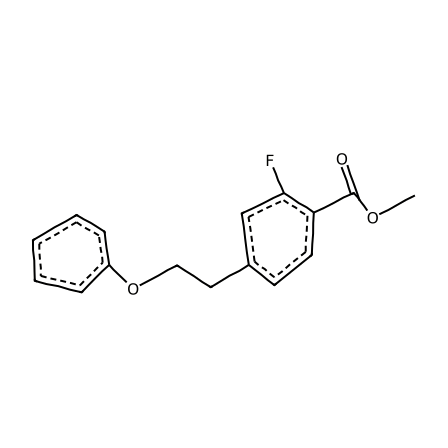 COC(=O)c1ccc(CCOc2ccccc2)cc1F